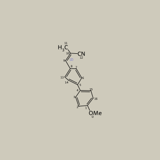 COc1ccc(-c2ccc(/C=C(/C)C#N)cc2)cc1